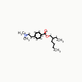 CCCCC(CC)COC(=O)c1ccc(CCN(C)C)cc1